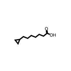 O=C(O)CCCCCCC1CC1